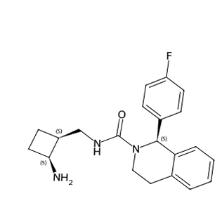 N[C@H]1CC[C@H]1CNC(=O)N1CCc2ccccc2[C@@H]1c1ccc(F)cc1